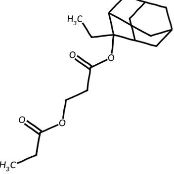 CCC(=O)OCCC(=O)OC1(CC)C2CC3CC(C2)CC1C3